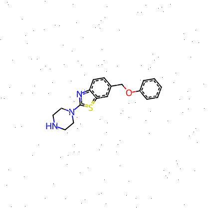 c1ccc(OCc2ccc3nc(N4CCNCC4)sc3c2)cc1